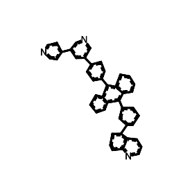 c1cc(-c2cccc3ncccc23)cc(-c2c3ccccc3c(-c3ccc(-c4cncc(-c5ccncc5)c4)cc3)c3ccccc23)c1